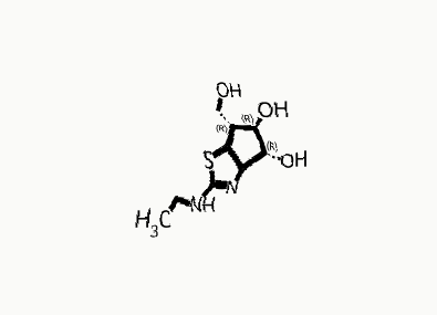 CCNC1=NC2C(S1)[C@H](CO)[C@@H](O)[C@@H]2O